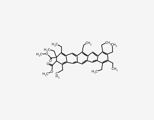 CCC1=c2cc3cc4cc5c(CC)c(CC)c(CC)c(CC)c5cc4c(CC)c3cc2=C(CC)C(CC)(C(=O)OC)C1C(=O)OC